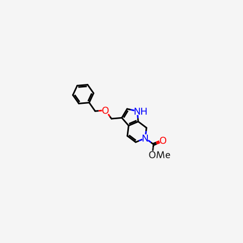 COC(=O)N1C=Cc2c(COCc3ccccc3)c[nH]c2C1